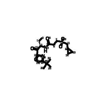 CC[C@H](NC(=O)[CH]CS(=O)(=O)CC1CC1)C(=O)c1nc(C(C)(C)C)no1